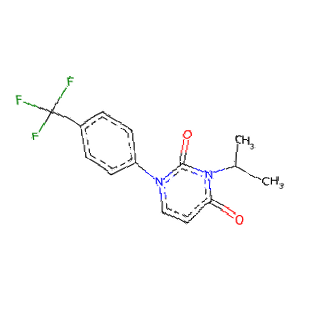 CC(C)n1c(=O)ccn(-c2ccc(C(F)(F)F)cc2)c1=O